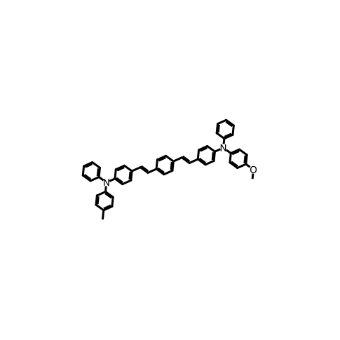 COc1ccc(N(c2ccccc2)c2ccc(C=Cc3ccc(C=Cc4ccc(N(c5ccccc5)c5ccc(C)cc5)cc4)cc3)cc2)cc1